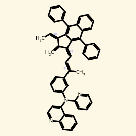 C=C1/C(=C\C)c2c(c(-c3ccccc3)c3ccccc3c2-c2ccccc2)/C1=C/C=C(\C)c1cccc(N(c2ccccn2)c2ccnc3ccccc23)c1